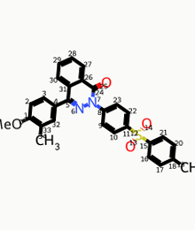 COc1ccc(-c2nn(-c3ccc(S(=O)(=O)c4ccc(C)cc4)cc3)c(=O)c3ccccc23)cc1C